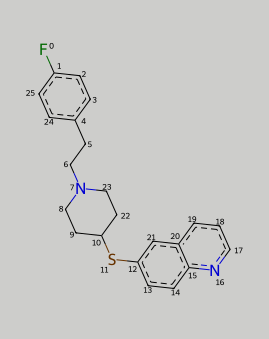 Fc1ccc(CCN2CCC(Sc3ccc4ncccc4c3)CC2)cc1